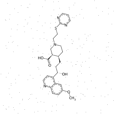 COc1ccc2nccc([C@@H](O)CC[C@@H]3CCN(CCSc4ncccn4)C[C@@H]3C(=O)O)c2c1